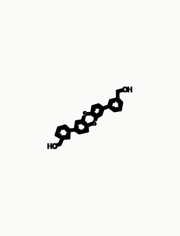 OCc1cccc(-c2ccc3c(c2)Sc2ccc(-c4cccc(CO)c4)cc2S3)c1